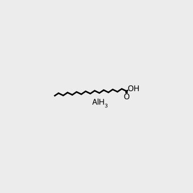 CCCCCCCCCCCCCCCCC(=O)O.[AlH3]